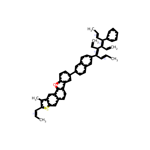 C=CC(/C(C=C)=C(\C=C\C)c1ccc2cc(-c3ccc4oc5c6cc7c(C)c(/C=C\C)sc7cc6ccc5c4c3)ccc2c1)=C(/C=C/C)c1ccccc1